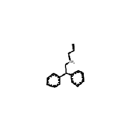 C=CC[SiH2]CC(c1ccccc1)c1ccccc1